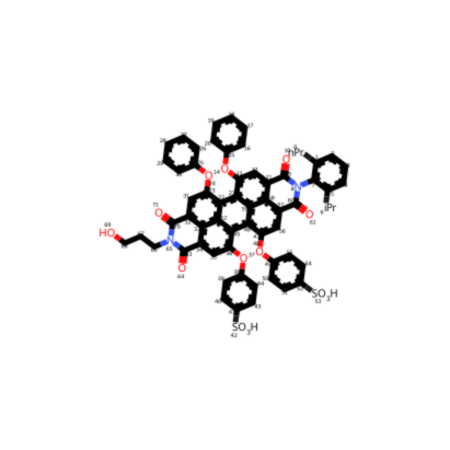 CCCc1cccc(C(C)C)c1N1C(=O)c2cc(Oc3ccccc3)c3c4c(Oc5ccccc5)cc5c6c(cc(Oc7ccc(S(=O)(=O)O)cc7)c(c7c(Oc8ccc(S(=O)(=O)O)cc8)cc(c2c37)C1=O)c64)C(=O)N(CCCO)C5=O